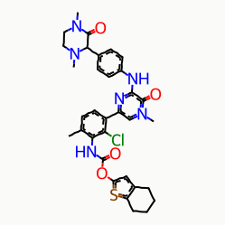 Cc1ccc(-c2cn(C)c(=O)c(Nc3ccc(C4C(=O)N(C)CCN4C)cc3)n2)c(Cl)c1NC(=O)Oc1cc2c(s1)CCCC2